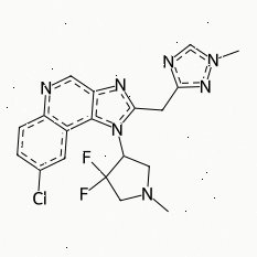 CN1CC(n2c(Cc3ncn(C)n3)nc3cnc4ccc(Cl)cc4c32)C(F)(F)C1